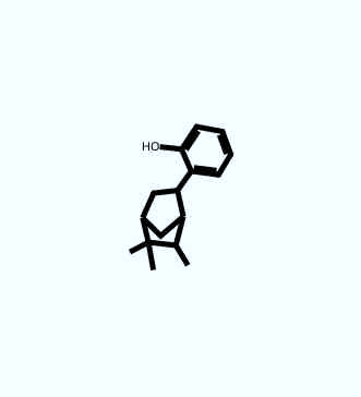 CC1C2CC(CC2c2ccccc2O)C1(C)C